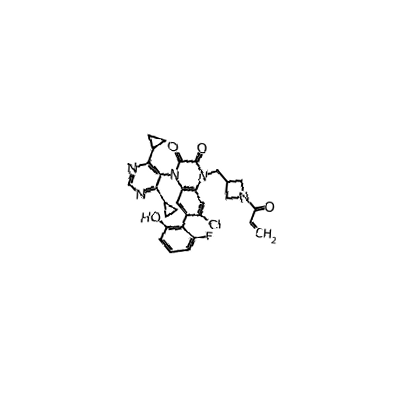 C=CC(=O)N1CC(Cn2c(=O)c(=O)n(-c3c(C4CC4)ncnc3C3CC3)c3cc(-c4c(O)cccc4F)c(Cl)cc32)C1